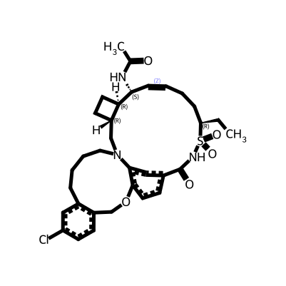 CC[C@@H]1CC/C=C\[C@@H](NC(C)=O)[C@@H]2CC[C@H]2CN2CCCCc3cc(Cl)ccc3COc3ccc(cc32)C(=O)NS1(=O)=O